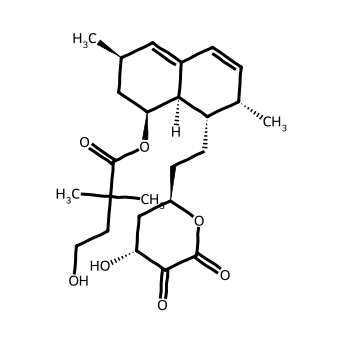 C[C@H]1C=C2C=C[C@H](C)[C@H](CC[C@@H]3C[C@@H](O)C(=O)C(=O)O3)[C@H]2[C@@H](OC(=O)C(C)(C)CCO)C1